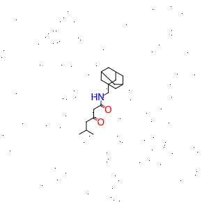 CC(C)CC(=O)CC(=O)NCC12CC3CC(CC(C3)C1)C2